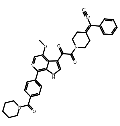 [C-]#[N+]C(=C1CCN(C(=O)C(=O)c2c[nH]c3c(-c4ccc(C(=O)N5CCCCC5)cc4)ncc(OC)c23)CC1)c1ccccc1